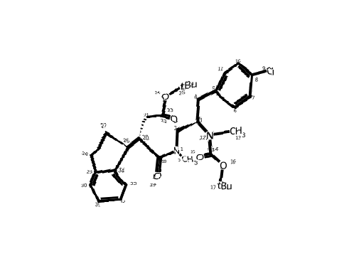 CN(C[C@@H](Cc1ccc(Cl)cc1)N(C)C(=O)OC(C)(C)C)C(=O)[C@@H](CC(=O)OC(C)(C)C)[C@@H]1CCc2ccccc21